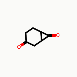 O=C1CCC2C(=O)C2C1